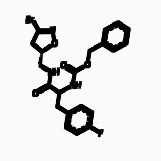 O=C(NC(Cc1ccc(F)cc1)C(=O)NC[C@@H]1CC(Br)=NO1)OCc1ccccc1